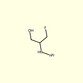 CCCNC(CO)CF